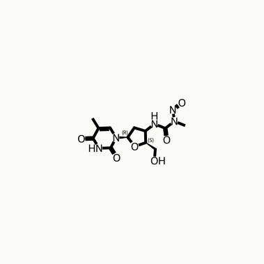 Cc1cn([C@H]2CC(NC(=O)N(C)N=O)[C@@H](CO)O2)c(=O)[nH]c1=O